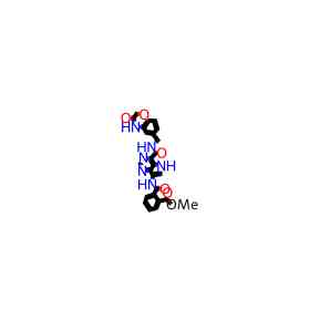 COC(=O)c1ccccc1C(=O)Nc1c[nH]c2c(C(=O)NCc3ccc4c(c3)NC(=O)CO4)ncnc12